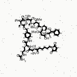 CC[C@H](C)[C@@H]([C@@H](CC(=O)N1CCC[C@H]1[C@H](OC)[C@@H](C)C(O)N[C@H](C)[C@@H](O)c1ccccc1)OC)N(C)C(=O)[C@@H](NC(=O)[C@H](C(C)C)N(C)C(=O)OCc1ccc(NC(=O)[C@H](CCCNC(N)=O)NC(=O)[C@H](NC(=O)CCCCCN2C(=O)C=CC2=O)C(C)C)cc1)C(C)C